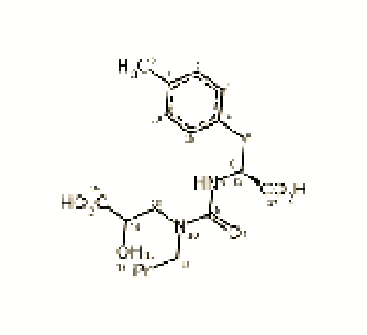 Cc1ccc(C[C@H](NC(=O)N(CC(C)C)CC(O)C(=O)O)C(=O)O)cc1